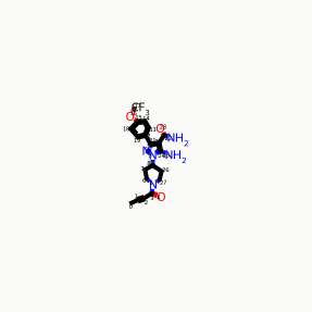 CC#CC(=O)N1CCC(n2nc(-c3ccc(OC(F)(F)F)cc3)c(C(N)=O)c2N)CC1